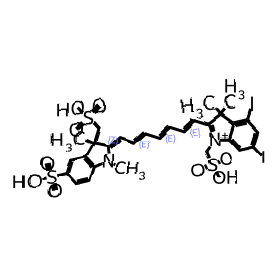 CN1\C(=C/C=C/C=C/C=C/C2=[N+](CS(=O)(=O)O)c3cc(I)cc(I)c3C2(C)C)C(C)(CS(=O)(=O)O)c2cc(S(=O)(=O)O)ccc21